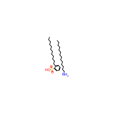 CCCCCCCCCCCCCCN.CCCCCCCCCCCCc1ccccc1S(=O)(=O)O